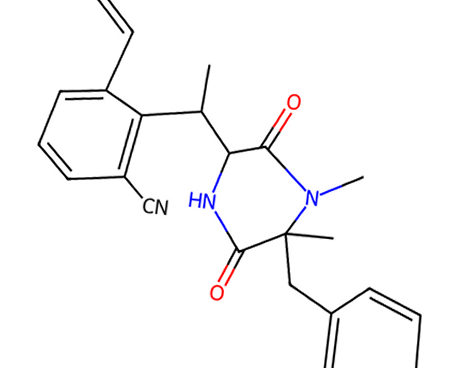 C=Cc1cccc(C#N)c1C(C)C1NC(=O)C(C)(Cc2ccccc2)N(C)C1=O